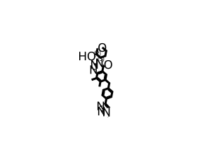 Cc1c(Cc2ccc(-c3cn(C)nn3)cc2)cc2c(=O)n([C@H]3CCOC[C@@H]3O)nnc2c1C